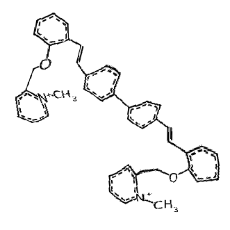 C[n+]1ccccc1COc1ccccc1/C=C/c1ccc(-c2ccc(/C=C/c3ccccc3OCc3cccc[n+]3C)cc2)cc1